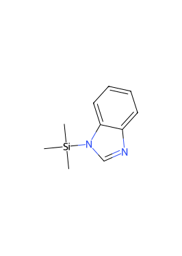 C[Si](C)(C)n1cnc2ccccc21